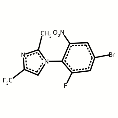 Cc1nc(C(F)(F)F)cn1-c1c(F)cc(Br)cc1[N+](=O)[O-]